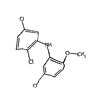 COc1ccc(Cl)cc1Nc1cc(Cl)ccc1Cl